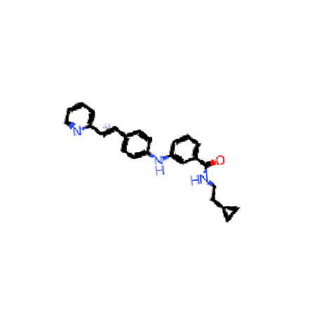 O=C(NCCC1CC1)c1cccc(Nc2ccc(/C=C/c3ccccn3)cc2)c1